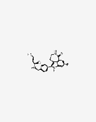 CN(Cc1ccc(-c2[nH]c3cc(F)cc4c3c2CCNC4=O)cc1)C(=O)CCS